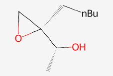 CCCCC[C@@]1([C@@H](C)O)CO1